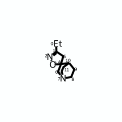 CCC1=NOC2(C1)CN1CCC2CC1